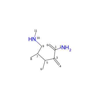 C=C(N)C(=C)C(C)C(C)CNC